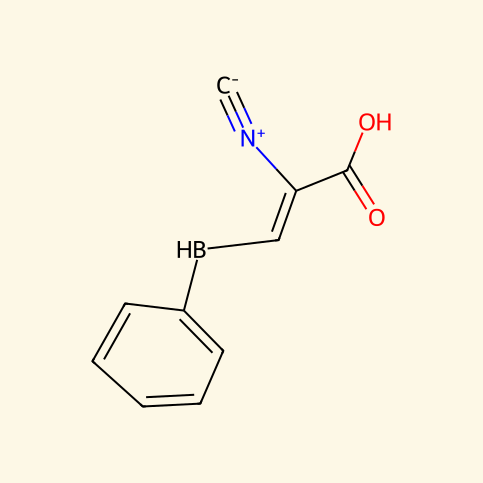 [C-]#[N+]C(=CBc1ccccc1)C(=O)O